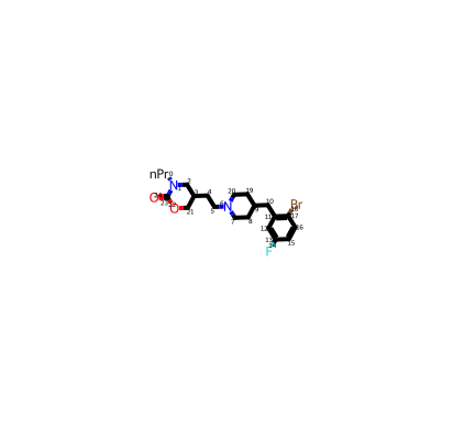 CCCN1CC(CCN2CCC(Cc3cc(F)ccc3Br)CC2)COC1=O